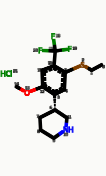 CCSc1cc([C@H]2CCCNC2)c(OC)cc1C(F)(F)F.Cl